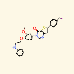 COc1cc(-n2cnc3c(c2=O)SC(c2ccc(CI)cc2)C3)ccc1OCCN(C)c1ccccc1